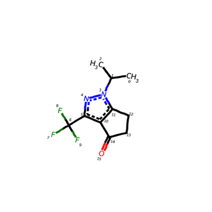 CC(C)n1nc(C(F)(F)F)c2c1CCC2=O